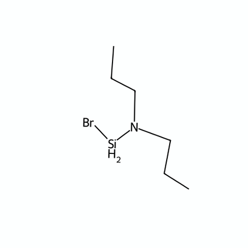 CCCN(CCC)[SiH2]Br